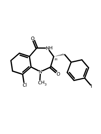 CN1C(=O)[C@@H](CC2C=CC(I)=CC2)NC(=O)C2=CCCC(Cl)=C21